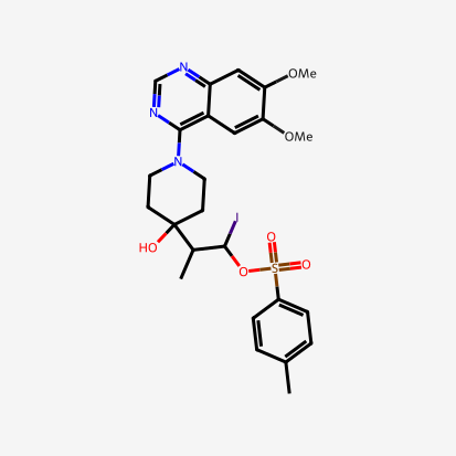 COc1cc2ncnc(N3CCC(O)(C(C)C(I)OS(=O)(=O)c4ccc(C)cc4)CC3)c2cc1OC